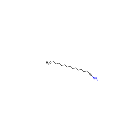 CCCCCCCCCCCCCCC#CN